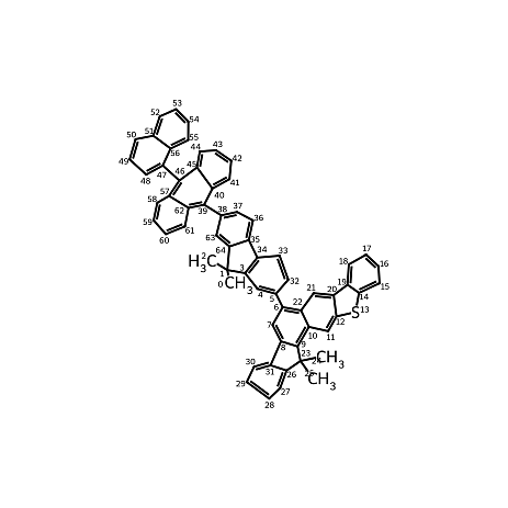 CC1(C)c2cc(-c3cc4c(c5cc6sc7ccccc7c6cc35)C(C)(C)c3ccccc3-4)ccc2-c2ccc(-c3c4ccccc4c(-c4cccc5ccccc45)c4ccccc34)cc21